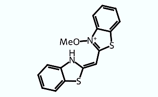 CO[n+]1c(C=C2Nc3ccccc3S2)sc2ccccc21